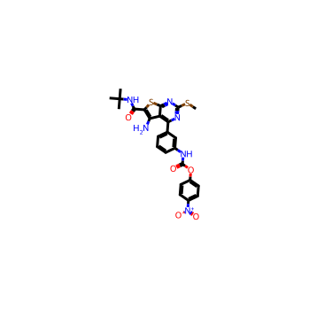 CSc1nc(-c2cccc(NC(=O)Oc3ccc([N+](=O)[O-])cc3)c2)c2c(N)c(C(=O)NC(C)(C)C)sc2n1